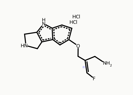 Cl.Cl.NC/C(=C\F)COc1ccc2[nH]c3c(c2c1)CNC3